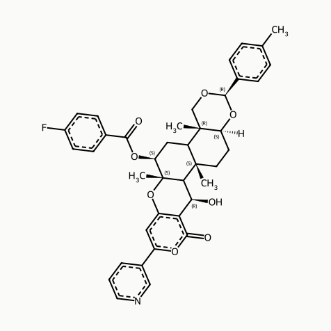 Cc1ccc([C@@H]2OC[C@@]3(C)C4C[C@H](OC(=O)c5ccc(F)cc5)[C@@]5(C)Oc6cc(-c7cccnc7)oc(=O)c6[C@H](O)C5[C@@]4(C)CC[C@@H]3O2)cc1